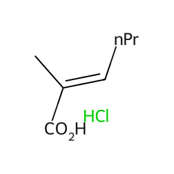 CCC/C=C(\C)C(=O)O.Cl